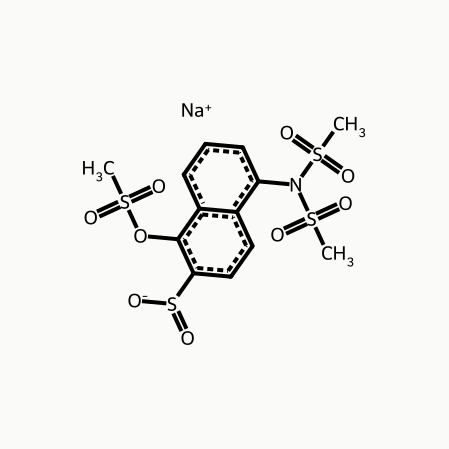 CS(=O)(=O)Oc1c(S(=O)[O-])ccc2c(N(S(C)(=O)=O)S(C)(=O)=O)cccc12.[Na+]